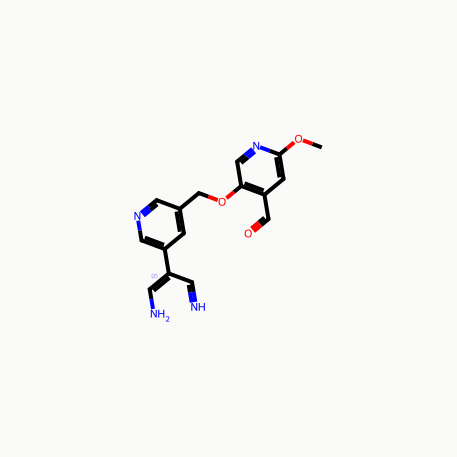 COc1cc(C=O)c(OCc2cncc(/C(C=N)=C/N)c2)cn1